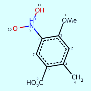 COc1cc(C)c(C(=O)O)cc1[NH+]([O-])O